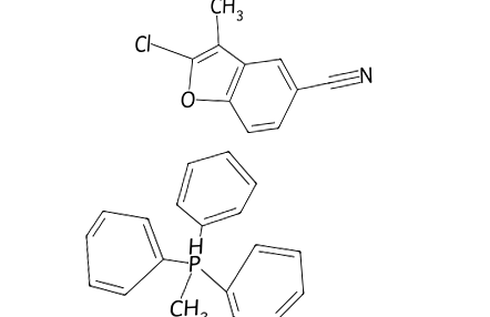 C[PH](c1ccccc1)(c1ccccc1)c1ccccc1.Cc1c(Cl)oc2ccc(C#N)cc12